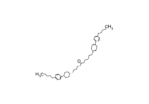 CCCCCc1ccc(C2CCC(CCCCCC(=O)CCCCC[C@H]3CC[C@H](c4ccc(CCCCC)cc4)CC3)CC2)cc1